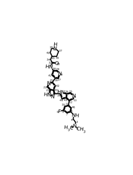 CN(C)CCNc1cc(F)cc(-c2cncc3[nH]c(-c4n[nH]c5cnc(-c6cncc(NC(=O)CC7CCNCC7)c6)cc45)cc23)c1